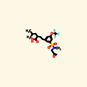 CC(C)CC(CCc1cc(OC(F)(F)F)cc(S(=O)(=O)N(C)CC2CO2)c1)C(=O)O